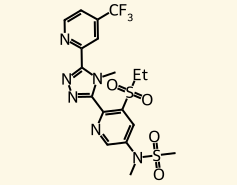 CCS(=O)(=O)c1cc(N(C)S(C)(=O)=O)cnc1-c1nnc(-c2cc(C(F)(F)F)ccn2)n1C